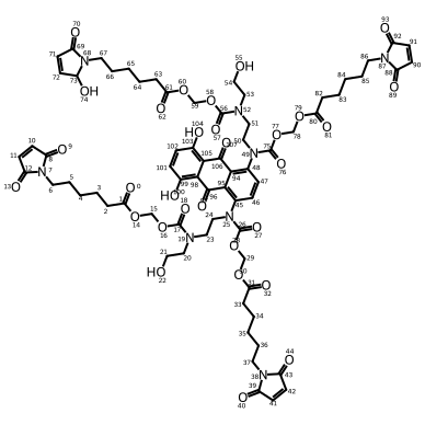 O=C(CCCCCN1C(=O)C=CC1=O)OCOC(=O)N(CCO)CCN(C(=O)OCOC(=O)CCCCCN1C(=O)C=CC1=O)c1ccc(N(CCN(CCO)C(=O)OCOC(=O)CCCCCN2C(=O)C=CC2O)C(=O)OCOC(=O)CCCCCN2C(=O)C=CC2=O)c2c1C(=O)c1c(O)ccc(O)c1C2=O